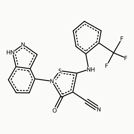 N#Cc1c(Nc2ccccc2C(F)(F)F)sn(-c2cccc3[nH]ncc23)c1=O